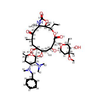 CC[C@H]1OC(=O)[C@H](C)[C@@H](O[C@H]2C[C@@](C)(OC)[C@@H](O)[C@H](C)O2)[C@H](C)[C@@H](O[C@@H]2O[C@H](C)C[C@@H](N(C)Cc3ccccc3)[C@@H]2N(C)C)[C@@](C)(OC)C[C@@H](C)C(=O)[C@H](C)[C@H]2NC(=O)O[C@@]21C